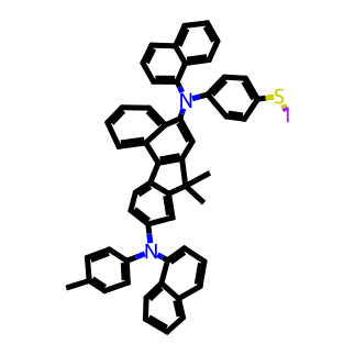 Cc1ccc(N(c2ccc3c(c2)C(C)(C)c2cc(N(c4ccc(SI)cc4)c4cccc5ccccc45)c4ccccc4c2-3)c2cccc3ccccc23)cc1